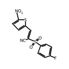 N#CC(=Cc1ccc([N+](=O)[O-])s1)S(=O)(=O)c1ccc(F)cc1